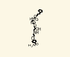 NC(=O)c1ccc(OCCNCC(O)COc2ncc(NC(=O)OCCCC3CCCC3)s2)cc1